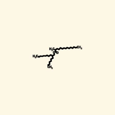 CCCCCCCCCCCCCC(C)C(=O)OCC(CCCCCCC)CCCCCCCCC